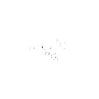 CCN(CC(C)(C)O)C(=O)Nc1nnc(Cc2cc(C)cc(F)c2)s1